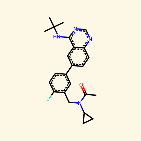 CC(=O)N(Cc1cc(-c2ccc3ncnc(NC(C)(C)C)c3c2)ccc1F)C1CC1